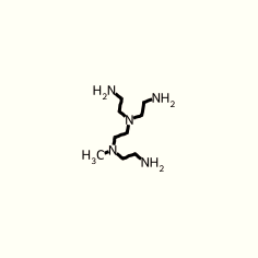 CN(CCN)CCN(CCN)CCN